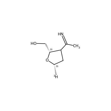 [3H][C@H]1CC(C(C)=N)[C@@H](CO)O1